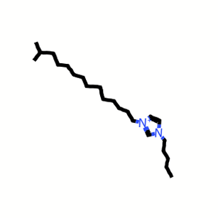 CCCCCn1cc[n+](CCCCCCCCCCCCC(C)C)c1